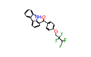 O=C(c1ccc(OCC(F)(F)C(F)F)cc1)c1cccc2c1[nH]c1ccccc12